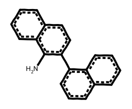 Nc1c(-c2cccc3ccccc23)ccc2ccccc12